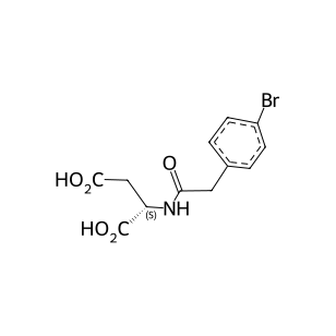 O=C(O)C[C@H](NC(=O)Cc1ccc(Br)cc1)C(=O)O